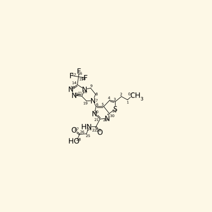 CCCc1cc2c(N3CCn4c(nnc4C(F)(F)F)C3)nc(C(=O)NCC(=O)O)nc2s1